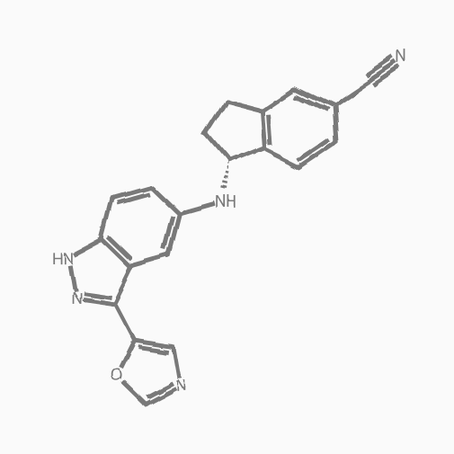 N#Cc1ccc2c(c1)CC[C@H]2Nc1ccc2[nH]nc(-c3cnco3)c2c1